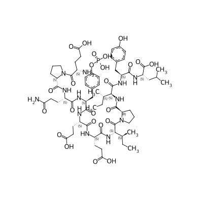 CC[C@H](C)[C@H](NC(=O)[C@H]1CCCN1C(=O)[C@@H](NC(=O)[C@H](CCC(=O)O)NC(=O)[C@H](CCC(=O)O)NC(=O)[C@H](Cc1ccc(OP(=O)(O)O)cc1)NC(=O)[C@H](CCC(N)=O)NC(=O)[C@@H]1CCCN1C(=O)[C@@H](N)CCC(=O)O)[C@@H](C)CC)C(=O)N[C@@H](Cc1ccc(O)cc1)C(=O)N[C@@H](CC(C)C)C(=O)O